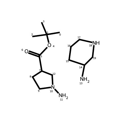 CC(C)(C)OC(=O)C1CCN(N)C1.NC1CCCNC1